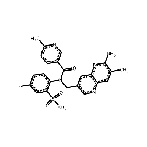 Cc1ncc(C(=O)N(Cc2cnc3cc(C)c(N)nc3c2)c2ccc(F)cc2S(C)(=O)=O)cn1